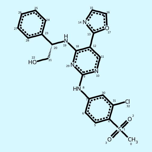 CS(=O)(=O)c1ccc(Nc2ncc(-c3ncco3)c(N[C@H](CO)c3ccccc3)n2)cc1Cl